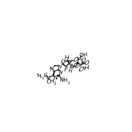 CN(C)c1nc(N)nc2c1ncn2[C@@H]1O[C@@H]2C(OP(=O)(O)OP(=O)(O)O)[C@]2(O)[C@@H]1F